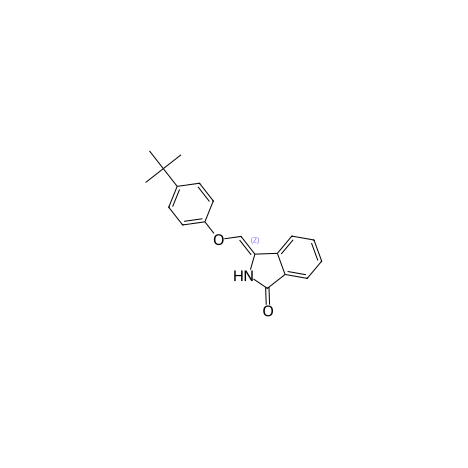 CC(C)(C)c1ccc(O/C=C2\NC(=O)c3ccccc32)cc1